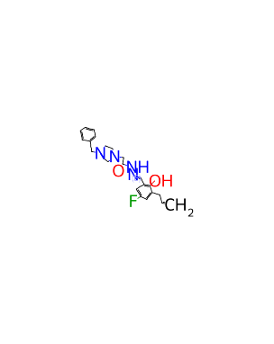 C=CCc1cc(F)cc(/C=N/NC(=O)CN2CCN(Cc3ccccc3)CC2)c1O